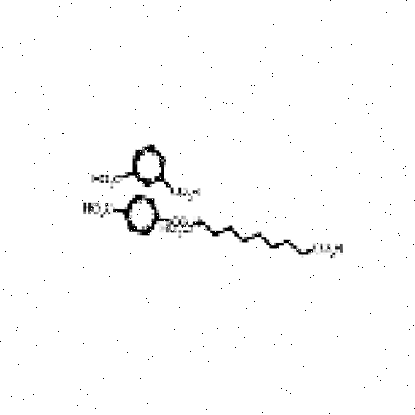 O=C(O)CCCCCCCCC(=O)O.O=C(O)c1ccc(C(=O)O)cc1.O=C(O)c1cccc(C(=O)O)c1